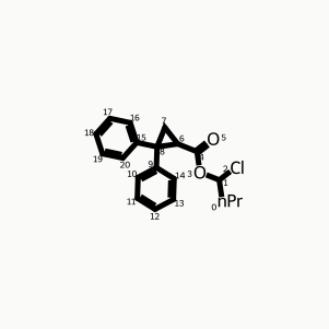 CCCC(Cl)OC(=O)C1CC1(c1ccccc1)c1ccccc1